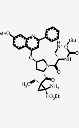 C=C[C@@]1(C(=O)[C@@H]2C[C@@H](Oc3cc(-c4ccccc4)nc4cc(OC)ccc34)CN2C(=O)[C@H](CN)NC(=O)OC(C)(C)C)C[C@]1(N)C(=O)OCC